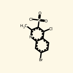 Cc1nc2cc(Br)ccc2c(Cl)c1S(=O)(=O)Cl